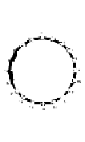 C1=CCCCCCCCCCCCCOCCCC=C1